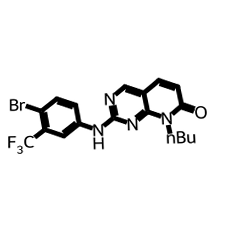 CCCCn1c(=O)ccc2cnc(Nc3ccc(Br)c(C(F)(F)F)c3)nc21